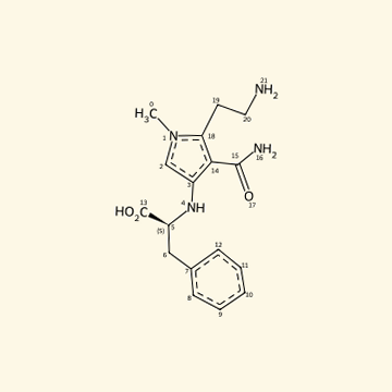 Cn1cc(N[C@@H](Cc2ccccc2)C(=O)O)c(C(N)=O)c1CCN